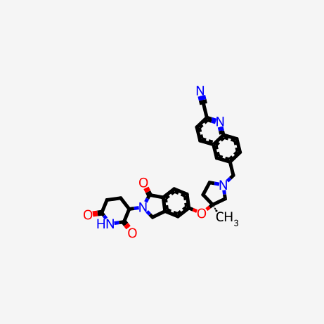 C[C@]1(Oc2ccc3c(c2)CN(C2CCC(=O)NC2=O)C3=O)CCN(Cc2ccc3nc(C#N)ccc3c2)C1